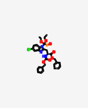 CCOC(OCC)(P=O)n1c(CC(NC(=O)OCc2ccccc2)C(=O)OCc2ccccc2)nc2cc(Cl)ccc21